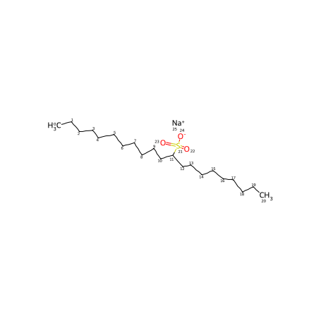 CCCCCCCCCCCC(CCCCCCCCC)S(=O)(=O)[O-].[Na+]